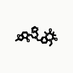 CCN1C(=O)C(C)(C)C(=O)N(C)c2cc(CN(CCn3ccc4oc(C)cc4c3=O)Cc3nccs3)ccc21